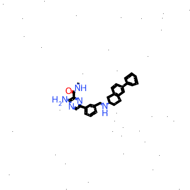 CNC(=O)c1nc(-c2cccc(CN[C@@H]3CCc4cc(-c5ccccc5)ccc4C3)c2)cnc1N